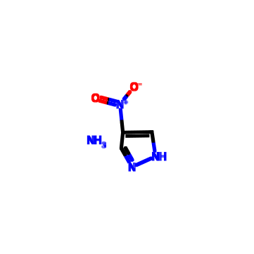 N.O=[N+]([O-])c1cn[nH]c1